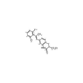 CCOC(=O)C1Cc2ccc(/C=C(\C)c3c(F)cccc3Cl)cc2NC1=O